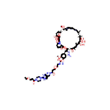 CCOCCC(=O)N1CCN(c2ncc(CNC(=O)CCOCCNC(=O)O[C@@H]3CC[C@@H](C[C@@H](N)[C@@H]4CC(=O)[C@H](C)/C=C(\C)[C@@H](O)[C@@H](O)C(=O)[C@H](C)C[C@H](C)/C=C/C=C/C=C(\C)[C@@H](OC)C[C@@H]5CC[C@@H](C)[C@@](O)(O5)C(=O)C(=O)N5CCCC[C@H]5C(=O)O4)C[C@H]3OC)cn2)CC1